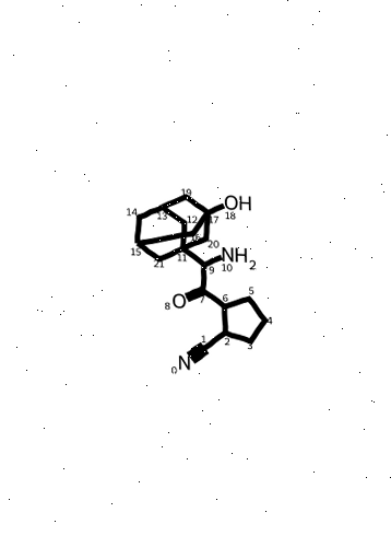 N#CC1CCCC1C(=O)C(N)C12CC3CC(CC(O)(C3)C1)C2